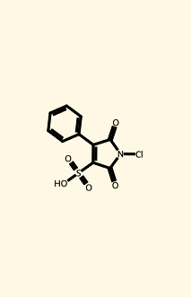 O=C1C(c2ccccc2)=C(S(=O)(=O)O)C(=O)N1Cl